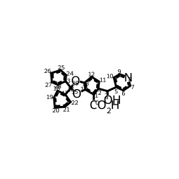 O=C(O)c1c(C(O)c2ccncc2)ccc2c1OC(c1ccccc1)(c1ccccc1)O2